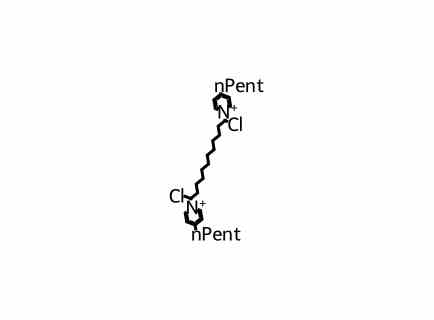 CCCCCc1cc[n+](C(Cl)CCCCCCCCCCC(Cl)[n+]2ccc(CCCCC)cc2)cc1